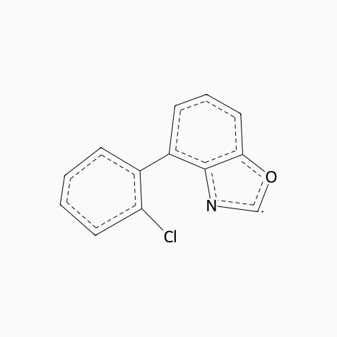 Clc1ccccc1-c1cccc2o[c]nc12